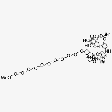 COCCOCCOCCOCCOCCOCCOCCOCCOCCOCCOCCOc1ccc(C[C@@H](C(=O)N[C@H](C(=O)N[C@@H](C)C(=O)Nc2ccc(COC(=O)C(C)C)c(CC[C@@H]3C[C@H](C(=O)O)[C@@H](O)[C@H](O)[C@H]3O)c2)C(C)C)N2C(=O)C=CC2=O)cc1